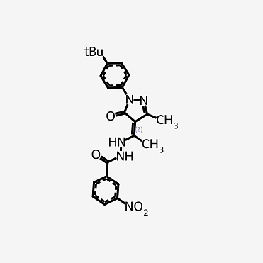 CC1=NN(c2ccc(C(C)(C)C)cc2)C(=O)/C1=C(/C)NNC(=O)c1cccc([N+](=O)[O-])c1